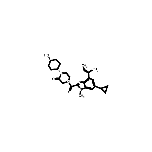 CC=C(C)c1cc(C2CC2)cc2c1nc(C(=O)N1CCN([C@H]3CC[C@H](O)CC3)C(=O)C1)n2C